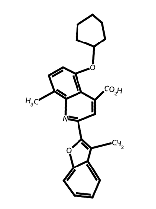 Cc1c(-c2cc(C(=O)O)c3c(OC4CCCCC4)ccc(C)c3n2)oc2ccccc12